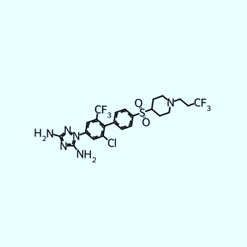 Nc1nc(N)n(-c2cc(Cl)c(-c3ccc(S(=O)(=O)C4CCN(CCC(F)(F)F)CC4)cc3)c(C(F)(F)F)c2)n1